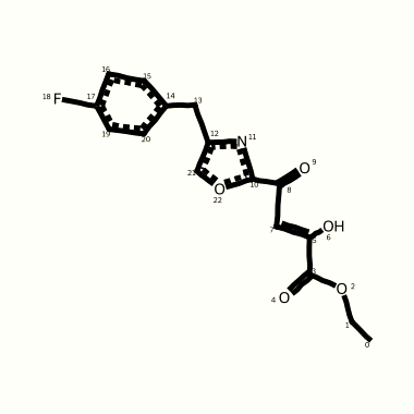 CCOC(=O)/C(O)=C/C(=O)c1nc(Cc2ccc(F)cc2)co1